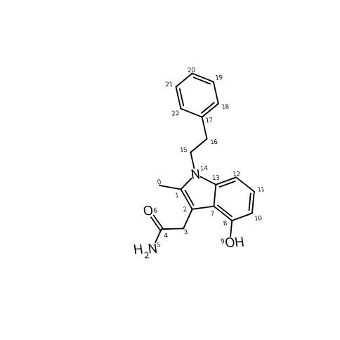 Cc1c(CC(N)=O)c2c(O)cccc2n1CCc1ccccc1